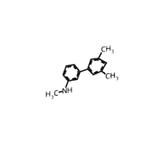 CNc1cccc(-c2cc(C)cc(C)c2)c1